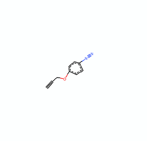 C#CCOc1ccc([N+]#N)cc1